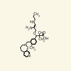 CCCN/C=C(\N)COC(c1ccc(C)c(CN2CCCc3ccncc3S2)c1)C(C)(C)C(=O)O